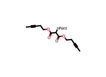 CC#CCCOC(=O)C(CCCCC)C(=O)OCCC#CC